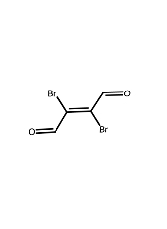 O=CC(Br)=C(Br)C=O